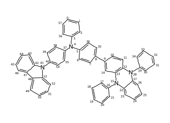 c1ccc(N(c2ccc(-c3ccc4c(c3)N(c3ccccc3)c3ccccc3N4c3ccccc3)cc2)c2ccc(-n3c4ccccc4c4ccccc43)cc2)cc1